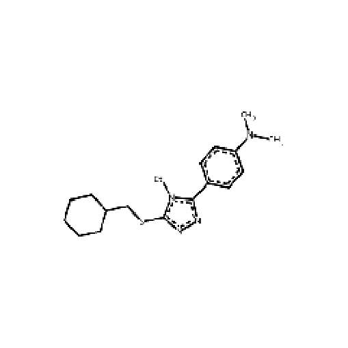 CCn1c(SCC2CCCCC2)nnc1-c1ccc(N(C)C)cc1